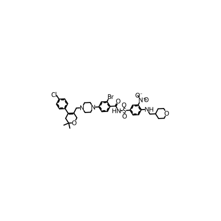 CC1(C)CC(c2ccc(Cl)cc2)=C(CN2CCN(c3ccc(C(=O)NS(=O)(=O)c4ccc(NCC5CCOCC5)c([N+](=O)[O-])c4)c(Br)c3)CC2)CO1